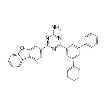 Nc1nc(-c2cc(C3=CCCC=C3)cc(-c3ccccc3)c2)nc(-c2ccc3c(c2)oc2ccccc23)n1